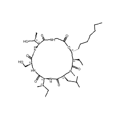 CCCCCCC[C@H]1OC(=O)CNC(=O)[C@H]([C@H](C)O)NC(=O)[C@H](CO)NC(=O)[C@H]([C@H](C)CC)NC(=O)[C@H](CC(C)C)N(C)C(=O)[C@@H]1CC